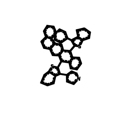 c1ccc2c(c1)ccc1cc3c(-c4sc5ccccc5c4-c4ccncc4)c4ccccc4c(-c4sc5ccccc5c4-c4ccncc4)c3cc12